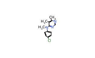 Cc1ncnc(N(C)c2ccc(Cl)cc2)c1C